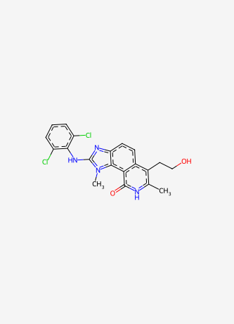 Cc1[nH]c(=O)c2c(ccc3nc(Nc4c(Cl)cccc4Cl)n(C)c32)c1CCO